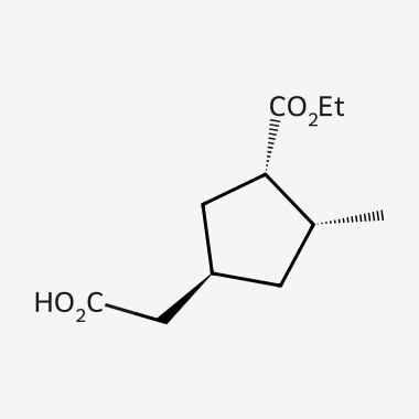 CCOC(=O)[C@H]1C[C@H](CC(=O)O)C[C@H]1C